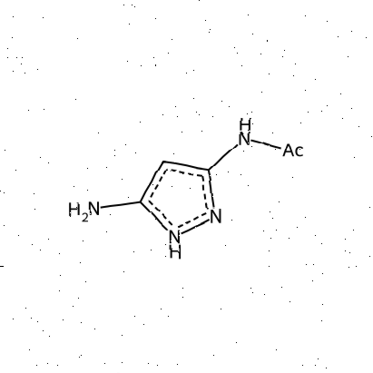 CC(=O)Nc1cc(N)[nH]n1